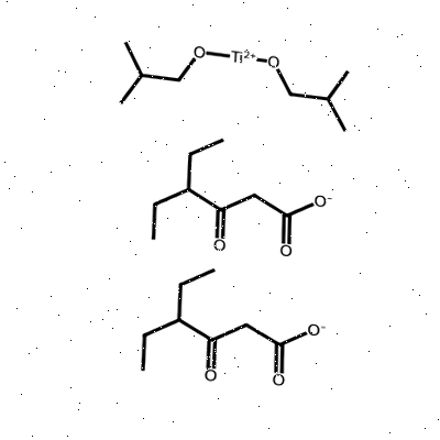 CC(C)C[O][Ti+2][O]CC(C)C.CCC(CC)C(=O)CC(=O)[O-].CCC(CC)C(=O)CC(=O)[O-]